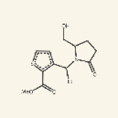 CCC(c1ccsc1C(=O)OC)N1C(=O)CCC1CO